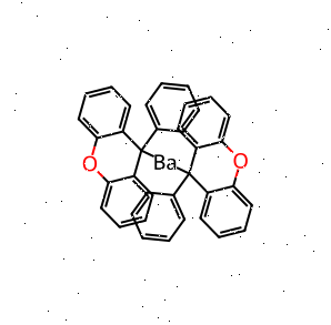 c1ccc([C]2([Ba][C]3(c4ccccc4)c4ccccc4Oc4ccccc43)c3ccccc3Oc3ccccc32)cc1